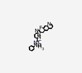 C/C(=N\Nc1ccccc1)c1ccc2ncc(Cc3cc4cccnc4cc3F)n2n1